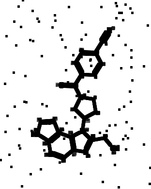 N#Cc1ccc(C(=O)N2CCC(n3c(CO)nc4cnc5[nH]ccc5c43)C2)cc1